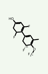 CC1=C(OC(F)(F)F)[C@H](F)CC(C2=C(F)C=C(O)CC2F)=C1